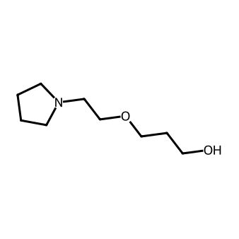 OCCCOCCN1CCCC1